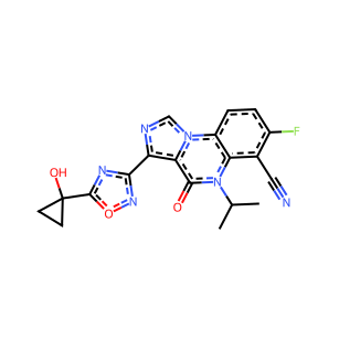 CC(C)n1c(=O)c2c(-c3noc(C4(O)CC4)n3)ncn2c2ccc(F)c(C#N)c21